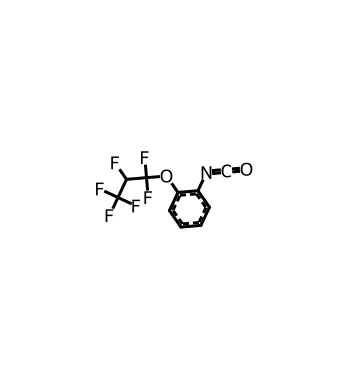 O=C=Nc1ccccc1OC(F)(F)C(F)C(F)(F)F